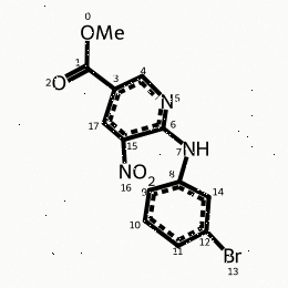 COC(=O)c1cnc(Nc2cccc(Br)c2)c([N+](=O)[O-])c1